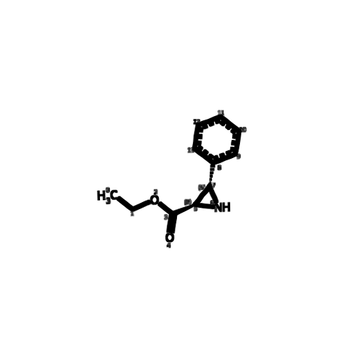 CCOC(=O)[C@@H]1N[C@H]1c1ccccc1